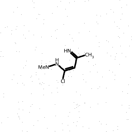 CNN/C(Cl)=C\C(C)=N